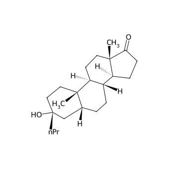 CCC[C@@]1(O)CC[C@@]2(C)[C@H](CC[C@@H]3[C@@H]2CC[C@]2(C)C(=O)CC[C@@H]32)C1